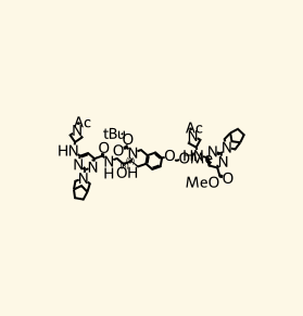 COC(=O)c1cc(NC2CN(C(C)=O)C2)nc(N2CC3CCC(C3)C2)n1.COCOc1ccc2c(c1)CN(C(=O)OC(C)(C)C)[C@H]([C@H](O)CNC(=O)c1cc(NC3CN(C(C)=O)C3)nc(N3CC4CCC(C4)C3)n1)C2